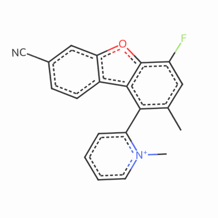 Cc1cc(F)c2oc3cc(C#N)ccc3c2c1-c1cccc[n+]1C